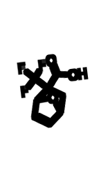 O=C(O)C1(C(F)(F)F)CC2C=CC1O2